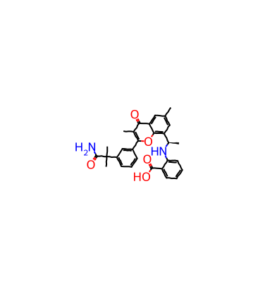 Cc1cc([C@@H](C)Nc2ccccc2C(=O)O)c2oc(-c3cccc(C(C)(C)C(N)=O)c3)c(C)c(=O)c2c1